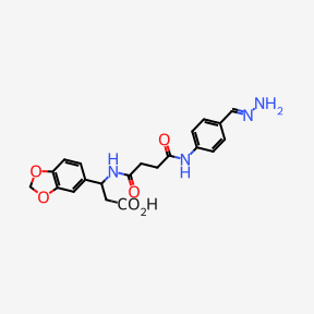 NN=Cc1ccc(NC(=O)CCC(=O)NC(CC(=O)O)c2ccc3c(c2)OCO3)cc1